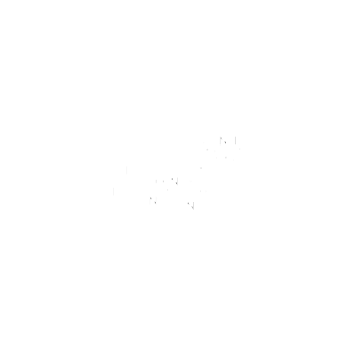 NS(=O)(=O)c1ccc(NC2CCN(C(CF)CF)C2)c([N+](=O)[O-])c1